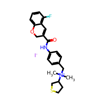 C[N+](C)(Cc1ccc(NC(=O)C2=Cc3c(F)cccc3OC2)cc1)C1CCSC1.[I-]